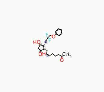 CC(=O)CCC/C=C\C[C@@H]1[C@@H](/C=C/C(F)(F)COc2ccccc2)[C@H](O)C[C@@H]1O